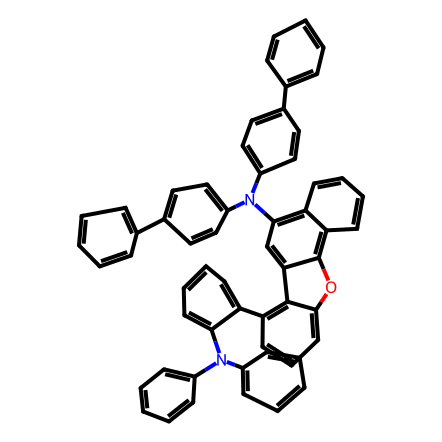 c1ccc(-c2ccc(N(c3ccc(-c4ccccc4)cc3)c3cc4c(oc5cccc(-c6ccccc6N(c6ccccc6)c6ccccc6)c54)c4ccccc34)cc2)cc1